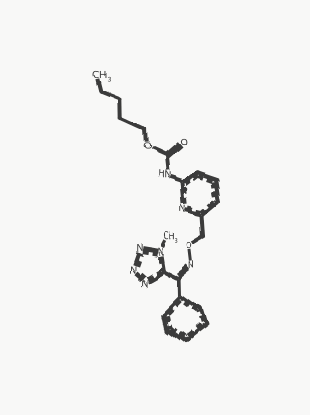 CCCCCOC(=O)Nc1cccc(CO/N=C(/c2ccccc2)c2nnnn2C)n1